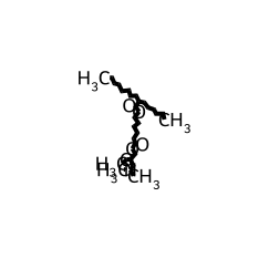 CCCCCCCCC(CCCCCC)C(=O)OCCCCCC(=O)OCC(CN(C)C)OC